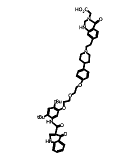 CC(C)(C)c1cc(C(C)(C)C)c(OCCOCCOc2ccc(C3CCN(CCc4ccc5c(c4)NCN(CC(=O)O)C5=O)CC3)cc2)cc1NC(=O)c1c[nH]c2ccccc2c1=O